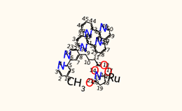 Cc1ccnc(-c2cc(CCCC(=O)ON3C(=O)CCC3=O)ccn2)c1.[Ru].c1ccc(-c2ccccn2)nc1.c1ccc(-c2ccccn2)nc1